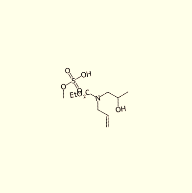 C=CCN(CC(C)O)C(=O)OCC.COS(=O)(=O)O